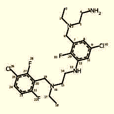 CCN(CCN)Cc1cc(Cl)cc(NCCN(CC)Cc2c(F)ccc(Cl)c2F)c1F